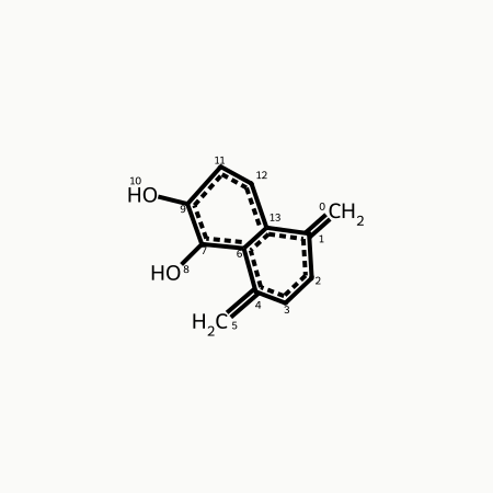 C=c1ccc(=C)c2c(O)c(O)ccc12